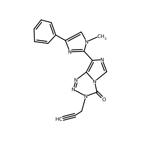 C#CCn1nnc2c(-c3nc(-c4ccccc4)cn3C)ncn2c1=O